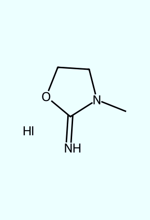 CN1CCOC1=N.I